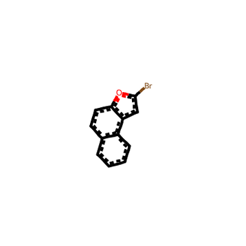 Brc1cc2c(ccc3ccccc32)o1